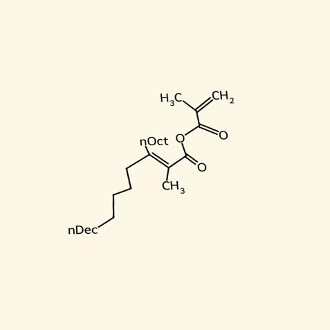 C=C(C)C(=O)OC(=O)C(C)=C(CCCCCCCC)CCCCCCCCCCCCCC